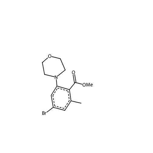 COC(=O)c1c(C)cc(Br)cc1N1CCOCC1